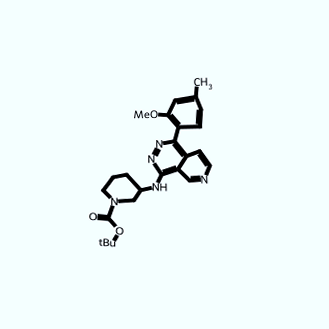 COc1cc(C)ccc1-c1nnc(NC2CCCN(C(=O)OC(C)(C)C)C2)c2cnccc12